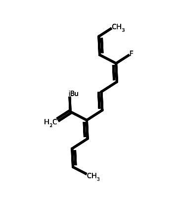 C=C(C(=C\C=C/C)/C=C/C=C(F)\C=C/C)C(C)CC